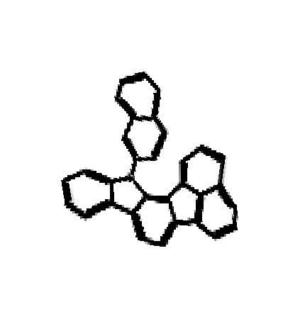 c1ccc2cc(-n3c4ccccc4c4ccc5c(c43)-c3cccc4cccc-5c34)ccc2c1